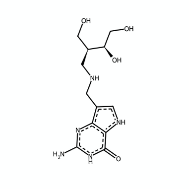 Nc1nc2c(CNC[C@@H](CO)[C@H](O)CO)c[nH]c2c(=O)[nH]1